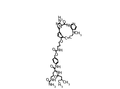 CC(C)CC(=O)N[C@@H](CCCNC(N)=O)C(=O)Nc1ccc(COC(=O)NCCCOc2ccc3cc2CCCCN(C)c2ccncc2NC(=O)c2nc-3cnc2N)cc1